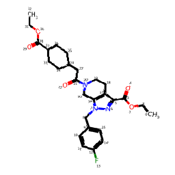 CCOC(=O)c1nn(Cc2ccc(F)cc2)c2c1CCN(C(=O)CC1CCC(C(=O)OCC)CC1)C2